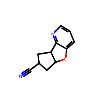 N#CC1CC2Oc3cccnc3C2C1